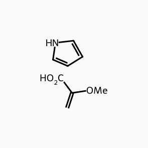 C=C(OC)C(=O)O.c1cc[nH]c1